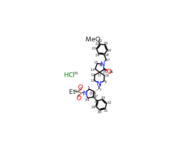 CCS(=O)(=O)N1C[C@H](CN2CCC3(CC2)CCN(Cc2ccc(OC)cc2)C3=O)[C@@H](c2ccccc2)C1.Cl